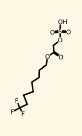 O=C(COS(=O)(=O)O)OCCCCCCCC(F)(F)F